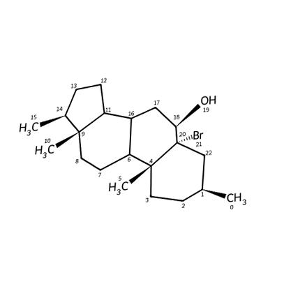 C[C@H]1CC[C@]2(C)C3CC[C@@]4(C)C(CC[C@@H]4C)C3C[C@@H](O)[C@@]2(Br)C1